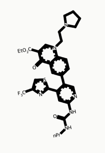 CCCNC(=O)Nc1cc(-c2nc(C(F)(F)F)cs2)c(-c2ccc3c(c2)c(=O)c(C(=O)OCC)cn3CCN2CCCC2)cn1